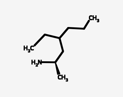 CCCC(CC)C[C@@H](C)N